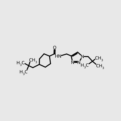 CC(C)(C)CC1CCC(C(=O)NCc2cn(CC(C)(C)C)nn2)CC1